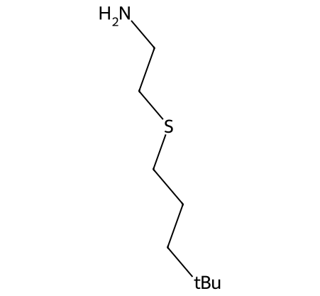 CC(C)(C)CCCSCCN